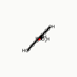 CC(=O)O.N=[N+]=N.OCCOCCOCCOCCOCCOCCOCCOCCOCCOCCOCCOCCO